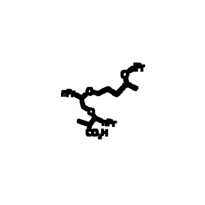 CCCC(COC(CCC)C(C)C(=O)O)OCCCC(C)OC(C)C